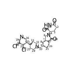 O=C1CCC(N2Cc3cc(CN4CC=C(c5cncc(Cl)c5Cl)CC4)ccc3C2=O)C(=O)N1